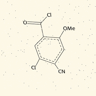 COc1cc(C#N)c(Cl)cc1C(=O)Cl